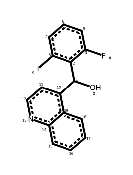 OC(c1c(F)cccc1I)c1ccnc2ccccc12